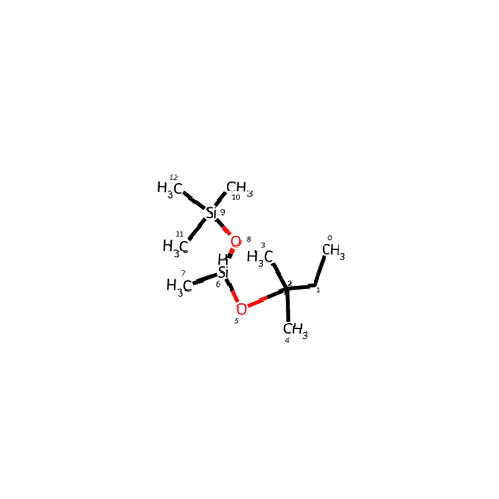 CCC(C)(C)O[SiH](C)O[Si](C)(C)C